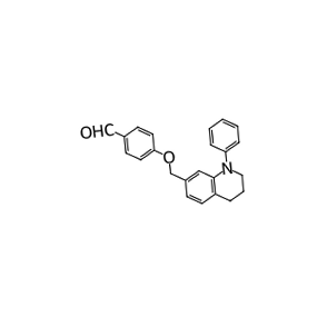 O=Cc1ccc(OCc2ccc3c(c2)N(c2ccccc2)CCC3)cc1